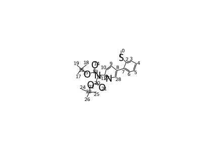 CSc1ccccc1-c1ccc(N(C(=O)OC(C)(C)C)C(=O)OC(C)(C)C)nc1